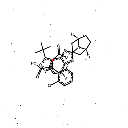 CC(C)(C)c1onc(-c2c(Cl)cccc2Cl)c1C(=O)O[C@H]1C[C@H]2CC[C@@H](C1)N2c1nc2c(F)cc(C(=O)O)cc2s1